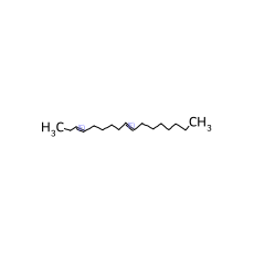 CC/C=C/CCCC/C=C/CCCCCCC